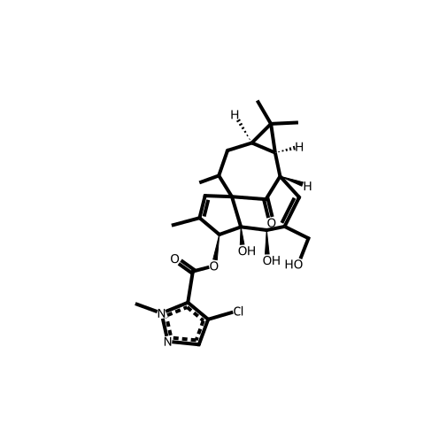 CC1=CC23C(=O)[C@@H](C=C(CO)[C@@H](O)[C@]2(O)[C@H]1OC(=O)c1c(Cl)cnn1C)[C@H]1[C@@H](CC3C)C1(C)C